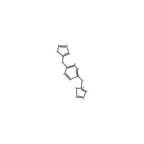 C1=CCC(Cc2ccc(CC3=CC=CC3)cc2)=C1